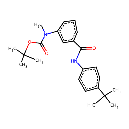 CN(C(=O)OC(C)(C)C)c1cccc(C(=O)Nc2ccc(C(C)(C)C)cc2)c1